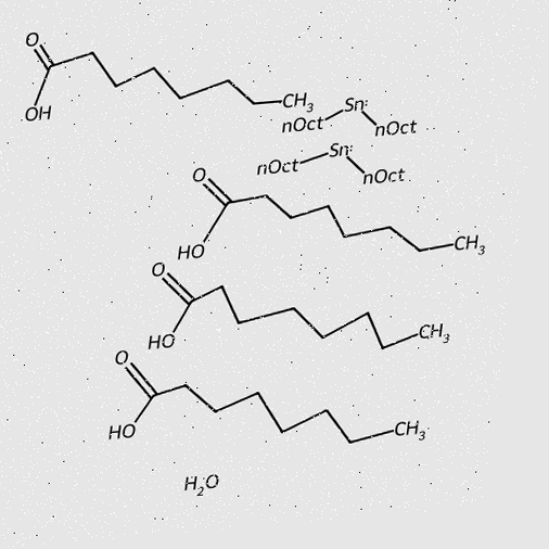 CCCCCCCC(=O)O.CCCCCCCC(=O)O.CCCCCCCC(=O)O.CCCCCCCC(=O)O.CCCCCCC[CH2][Sn][CH2]CCCCCCC.CCCCCCC[CH2][Sn][CH2]CCCCCCC.O